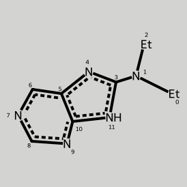 CCN(CC)c1nc2cncnc2[nH]1